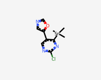 [CH3][Sn]([CH3])([CH3])[c]1nc(Cl)ncc1-c1cnco1